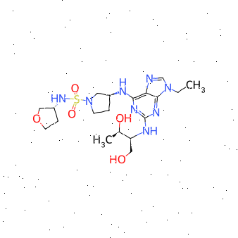 CCn1cnc2c(N[C@H]3CCN(S(=O)(=O)N[C@@H]4CCOC4)C3)nc(N[C@@H](CO)[C@@H](C)O)nc21